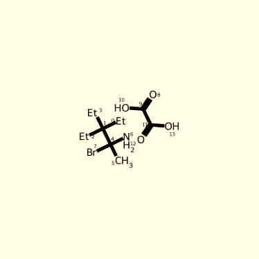 CCC(CC)(CC)C(C)(N)Br.O=C(O)C(=O)O